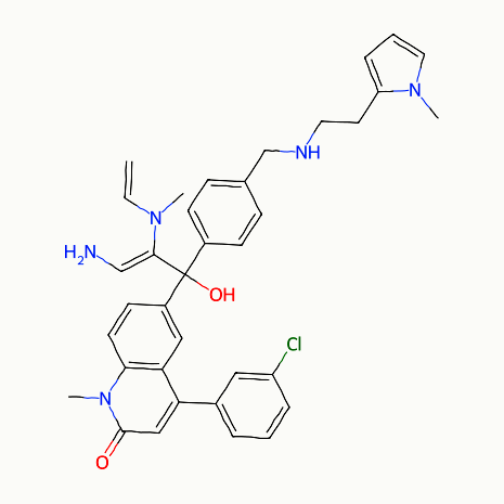 C=CN(C)/C(=C\N)C(O)(c1ccc(CNCCc2cccn2C)cc1)c1ccc2c(c1)c(-c1cccc(Cl)c1)cc(=O)n2C